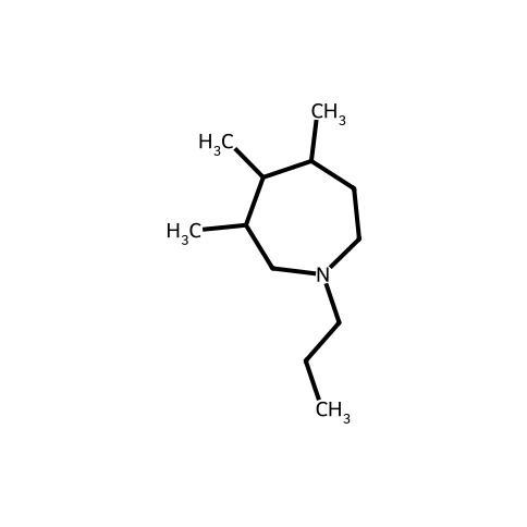 CCCN1CCC(C)C(C)C(C)C1